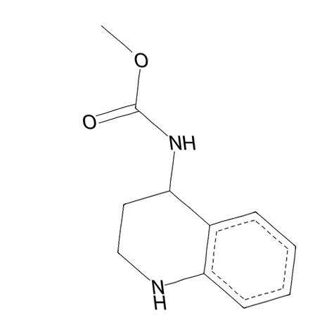 COC(=O)NC1CCNc2ccccc21